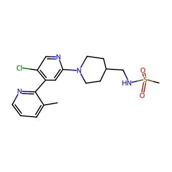 Cc1cccnc1-c1cc(N2CCC(CNS(C)(=O)=O)CC2)ncc1Cl